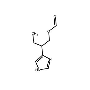 CSC(COC=O)c1c[nH]cn1